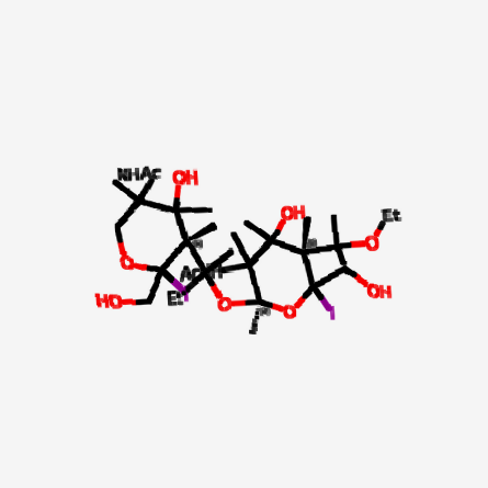 CCOC(C)(C)[C@]1(C)C(I)(CO)O[C@@](C)(OC(C)(CC)[C@]2(C)C(I)(CO)OCC(C)(NC(C)=O)C2(C)O)C(C)(NC(C)=O)C1(C)O